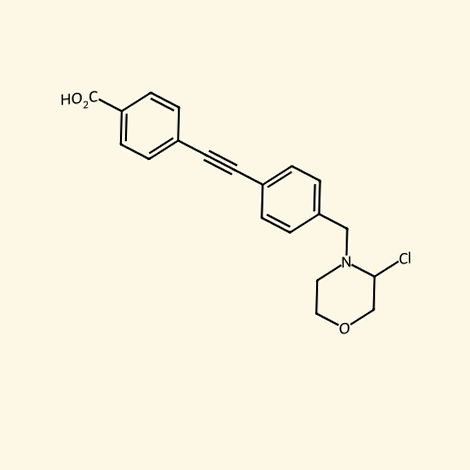 O=C(O)c1ccc(C#Cc2ccc(CN3CCOCC3Cl)cc2)cc1